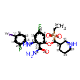 CCS(=O)(=O)C(Oc1cc(F)cc(Nc2ccc(I)cc2F)c1C(N)=O)C1CCCNC1